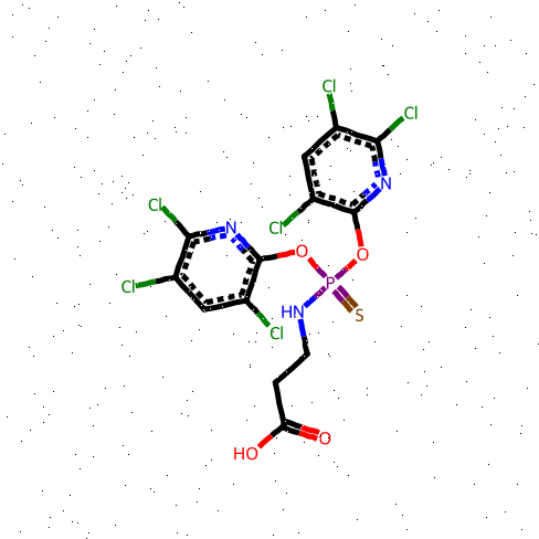 O=C(O)CCNP(=S)(Oc1nc(Cl)c(Cl)cc1Cl)Oc1nc(Cl)c(Cl)cc1Cl